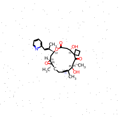 CC(=Cc1ccccn1)[C@@H]1C[C@@H]2O[C@]2(C)CC/C=C(\C)[C@H](O)[C@@H](C)C(=O)C2(CCC2)[C@@H](O)CC(=O)O1